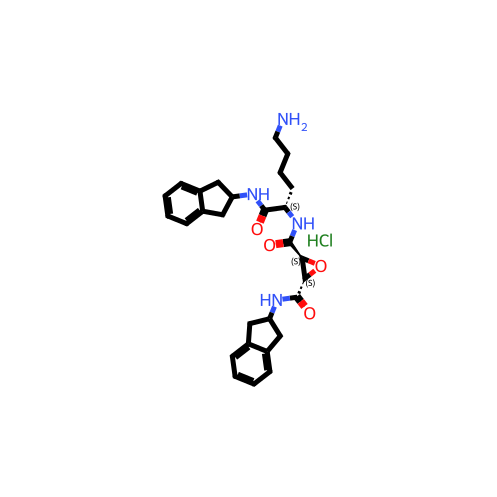 Cl.NCCCC[C@H](NC(=O)[C@H]1O[C@@H]1C(=O)NC1Cc2ccccc2C1)C(=O)NC1Cc2ccccc2C1